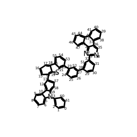 c1ccc(-n2c3ccccc3c3cc(-c4cccc5c4sc4c(-c6cccc(-c7cccc(-c8ncc9c%10ccccc%10c%10ccccc%10c9n8)c7)c6)cccc45)ccc32)cc1